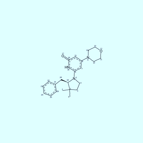 CC1(C)CCN(c2cc(N3CCOCC3)cc(=O)[nH]2)[C@@H]1Cc1ccccc1